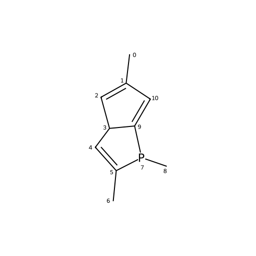 CC1=CC2C=C(C)P(C)C2=C1